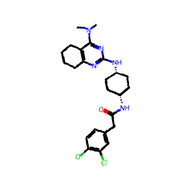 CN(C)c1nc(N[C@H]2CC[C@@H](NC(=O)Cc3ccc(Cl)c(Cl)c3)CC2)nc2c1CCCC2